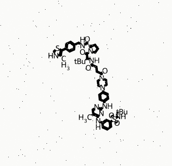 CC1=C(c2ccc(CNC(=O)[C@@H]3CCCN3C(=O)[C@@H](NC(=O)CCC(=O)N3CCN(c4ccc(Nc5ncc(C)c(Nc6cccc(S(=O)(=O)NC(C)(C)C)c6)n5)cc4)CC3)C(C)(C)C)cc2)SCN1